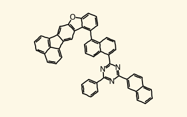 c1ccc(-c2nc(-c3ccc4ccccc4c3)nc(-c3cccc4c(-c5cccc6oc7cc8c(cc7c56)-c5cccc6cccc-8c56)cccc34)n2)cc1